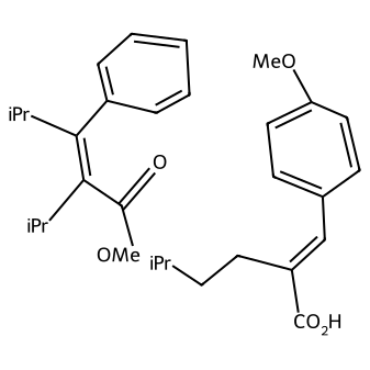 COC(=O)C(=C(c1ccccc1)C(C)C)C(C)C.COc1ccc(C=C(CCC(C)C)C(=O)O)cc1